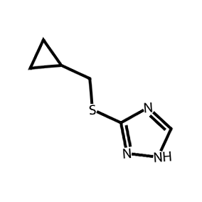 c1nc(SCC2CC2)n[nH]1